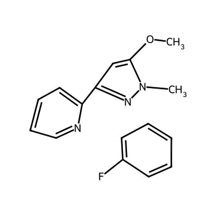 COc1cc(-c2ccccn2)nn1C.Fc1ccccc1